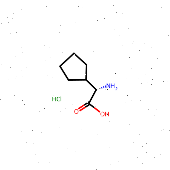 Cl.N[C@H](C(=O)O)C1CCCC1